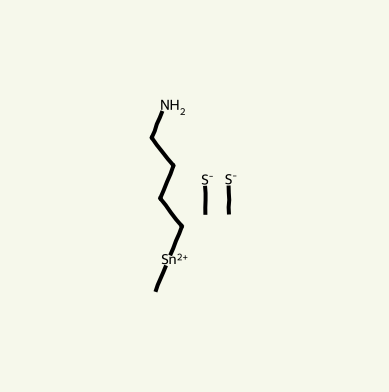 C[S-].C[S-].[CH3][Sn+2][CH2]CCCN